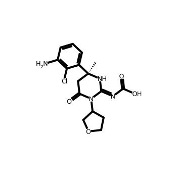 C[C@@]1(c2cccc(N)c2Cl)CC(=O)N(C2CCOC2)C(=NC(=O)O)N1